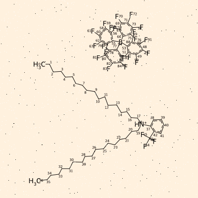 CCCCCCCCCCCCCCCCCC[NH+](CCCCCCCCCCCCCCCCCC)c1ccccc1C(F)(F)F.Fc1c(F)c(F)c([B-](c2c(F)c(F)c(F)c(F)c2F)(c2c(F)c(F)c(F)c(F)c2F)c2c(F)c(F)c(F)c(F)c2F)c(F)c1F